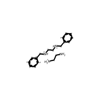 NCCN.c1ccc(CNCCNCc2ccccc2)cc1